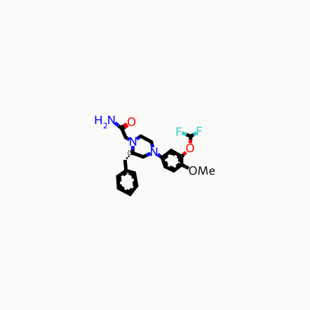 COc1ccc(N2CCN(CC(N)=O)[C@@H](Cc3ccccc3)C2)cc1OC(F)F